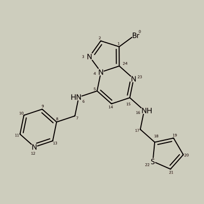 Brc1cnn2c(NCc3cccnc3)cc(NCc3cccs3)nc12